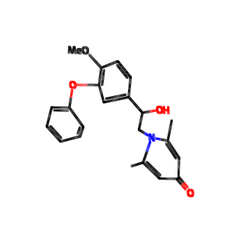 COc1ccc(C(O)Cn2c(C)cc(=O)cc2C)cc1Oc1ccccc1